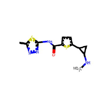 Cc1nnc(NC(=O)c2ccc(C3CC3NC(=O)O)s2)s1